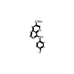 COc1cnc2c(Nc3ccc(F)cc3)nccc2c1